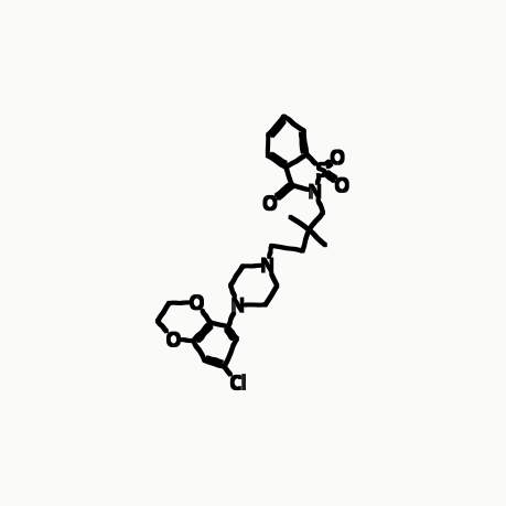 CC(C)(CCN1CCN(c2cc(Cl)cc3c2OCCO3)CC1)CN1C(=O)c2ccccc2S1(=O)=O